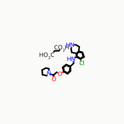 O=C(COc1ccc(CNc2c(Cl)ccc3c2CCNCC3)cc1)N1CCCCC1.O=C(O)CCC(=O)O